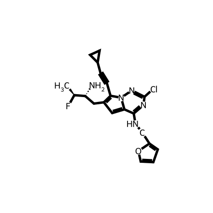 C[C@H](F)[C@H](N)Cc1cc2c(NCc3ccco3)nc(Cl)nn2c1C#CC1CC1